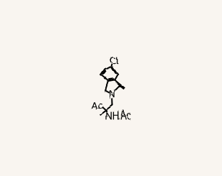 C=C1c2cc(Cl)ccc2CN1CC(C)(NC(C)=O)C(C)=O